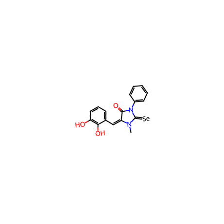 CN1C(=[Se])N(c2ccccc2)C(=O)C1=Cc1cccc(O)c1O